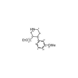 CCOC(=O)C1CNCCC1c1cccc(OC)c1